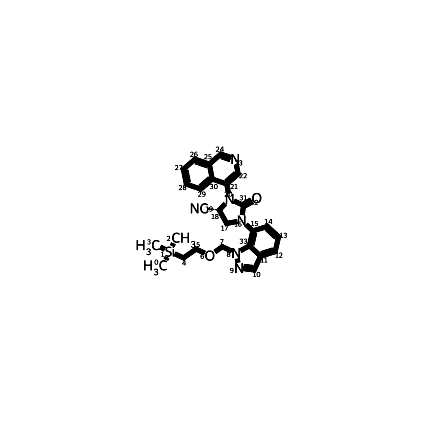 C[Si](C)(C)CCOCn1ncc2cccc(N3C[C@H](C#N)N(c4cncc5ccccc45)C3=O)c21